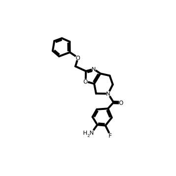 Nc1ccc(C(=O)N2CCc3nc(COc4ccccc4)oc3C2)cc1F